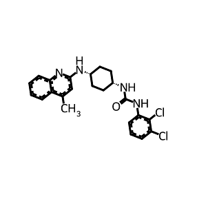 Cc1cc(N[C@H]2CC[C@@H](NC(=O)Nc3cccc(Cl)c3Cl)CC2)nc2ccccc12